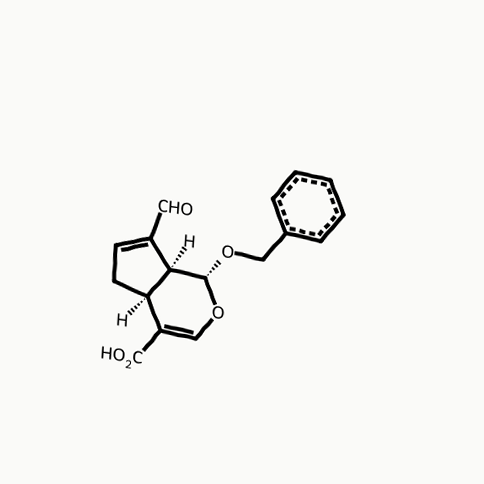 O=CC1=CC[C@@H]2C(C(=O)O)=CO[C@@H](OCc3ccccc3)[C@H]12